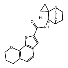 O=C(N[C@@H]1C2CCN(CC2)C12CC2)c1cc2ccc3c(c2s1)OCCC3